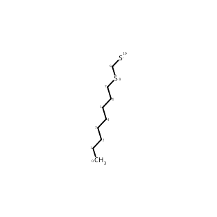 CCCCCCCCS[CH][S]